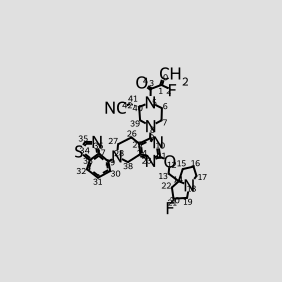 C=C(F)C(=O)N1CCN(c2nc(OCC34CCCN3C[C@H](F)C4)nc3c2CCN(c2cccc4scnc24)C3)C[C@@H]1CC#N